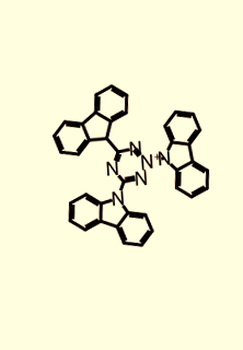 c1ccc2c(c1)-c1ccccc1C2c1nc(-n2c3ccccc3c3ccccc32)n[n+](-n2c3ccccc3c3ccccc32)n1